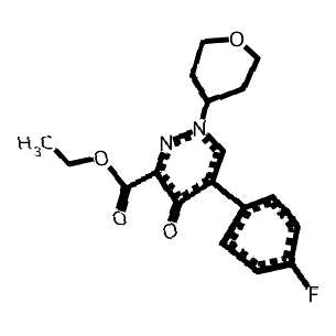 CCOC(=O)c1nn(C2CCOCC2)cc(-c2ccc(F)cc2)c1=O